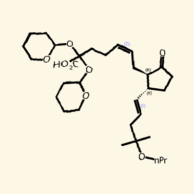 CCCOC(C)(C)C/C=C/[C@H]1CCC(=O)[C@@H]1C/C=C\CCC(OC1CCCCO1)(OC1CCCCO1)C(=O)O